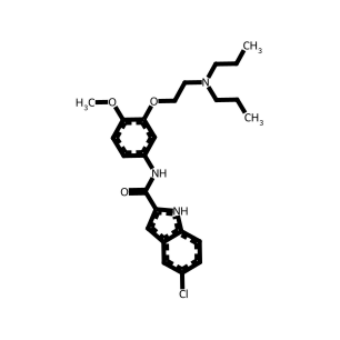 CCCN(CCC)CCOc1cc(NC(=O)c2cc3cc(Cl)ccc3[nH]2)ccc1OC